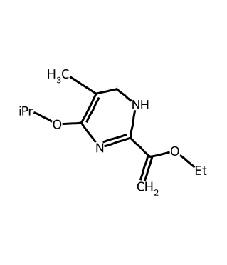 C=C(OCC)C1=NC(OC(C)C)=C(C)[CH]N1